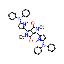 CCN1C(=O)C2=C(c3ccc(N(c4ccccc4)c4ccccc4)n3C)N(CC)C(=O)C2=C1c1ccc(N(c2ccccc2)c2ccccc2)n1C